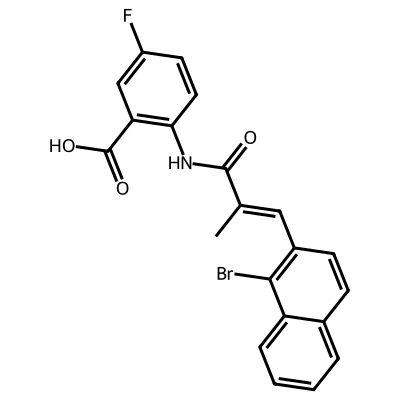 CC(=Cc1ccc2ccccc2c1Br)C(=O)Nc1ccc(F)cc1C(=O)O